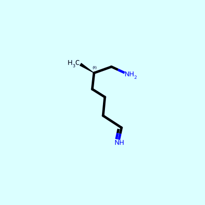 C[C@@H](CN)CCCC=N